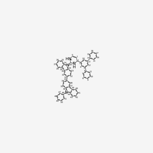 C1=CC(c2cc(-c3ccccc3)cc(-c3ccccc3)c2)NC(n2c3ccccc3c3cc(-c4ccc5c(c4)c4ccccc4n5-c4ccccc4)ccc32)N1